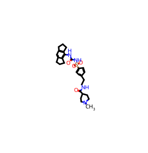 CN1CCC(C(=O)NCCc2ccc(S(=O)(=O)NC(=O)Nc3c4c(cc5c3CCC5)CCC4)cc2)CC1